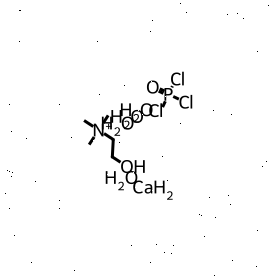 C[N+](C)(C)CCO.O.O.O.O.O=P(Cl)(Cl)Cl.[CaH2]